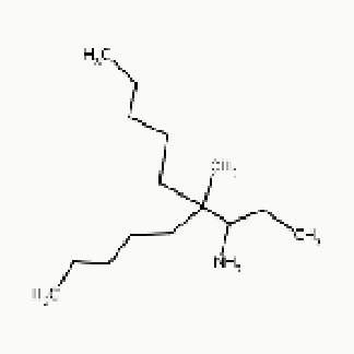 CCCCCC(C)(CCCCC)C(N)CC